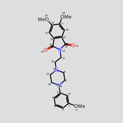 COc1cccc(N2CCN(CCN3C(=O)c4cc(OC)c(OC)cc4C3=O)CC2)c1